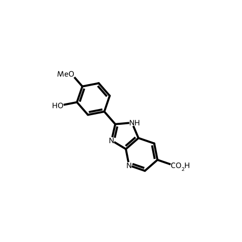 COc1ccc(-c2nc3ncc(C(=O)O)cc3[nH]2)cc1O